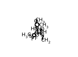 C=C/C=N\C=C1/NC(=O)N=C(NC2=CC=C(OC)C=C(C)C2)N(Cc2cc(F)c(F)c(SC)c2)C1=O